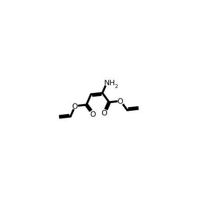 C=COC(=O)/C=C(/N)C(=O)OC=C